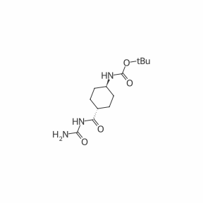 CC(C)(C)OC(=O)N[C@H]1CC[C@H](C(=O)NC(N)=O)CC1